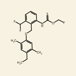 CCc1cc(C)c(OCc2c(NC(=S)OCF)cccc2C(F)F)cc1C